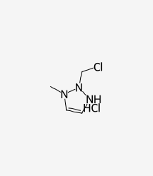 CN1C=CNN1CCl.Cl